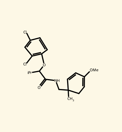 COC1=CCC(C)(CNC(=O)C(Oc2ccc(Cl)cc2Cl)C(C)C)C=C1